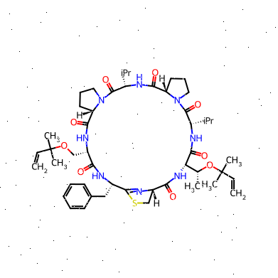 C=CC(C)(C)OC[C@@H]1NC(=O)[C@@H]2CCCN2C(=O)[C@H](C(C)C)NC(=O)[C@@H]2CCCN2C(=O)[C@H](C(C)C)NC(=O)[C@H]([C@@H](C)OC(C)(C)C=C)NC(=O)[C@@H]2CSC(=N2)[C@H](Cc2ccccc2)NC1=O